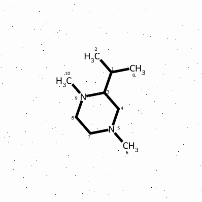 CC(C)C1CN(C)CCN1C